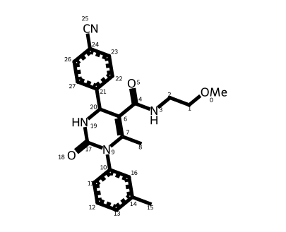 COCCNC(=O)C1=C(C)N(c2cccc(C)c2)C(=O)NC1c1ccc(C#N)cc1